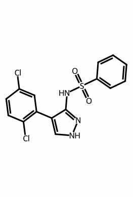 O=S(=O)(Nc1n[nH]cc1-c1cc(Cl)ccc1Cl)c1ccccc1